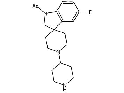 CC(=O)N1CC2(CCN(C3CCNCC3)CC2)c2cc(F)ccc21